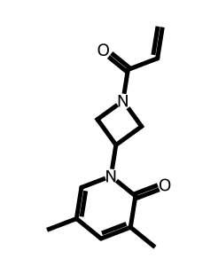 C=CC(=O)N1CC(n2cc(C)cc(C)c2=O)C1